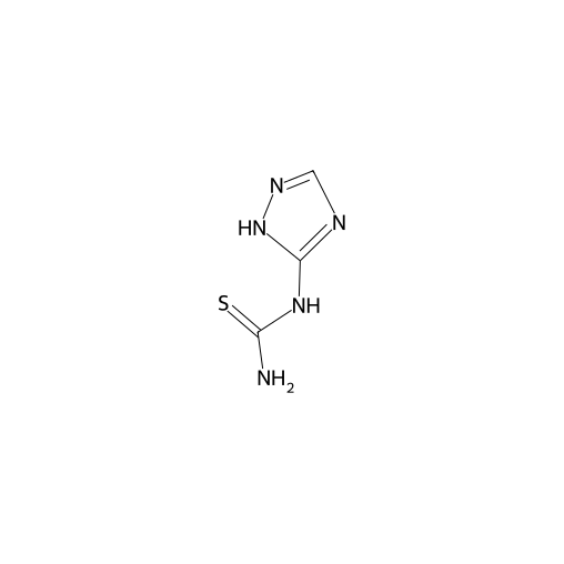 NC(=S)Nc1ncn[nH]1